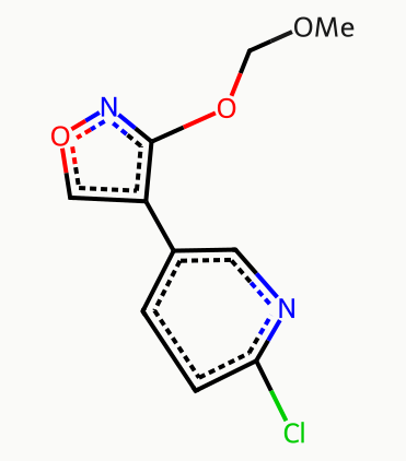 COCOc1nocc1-c1ccc(Cl)nc1